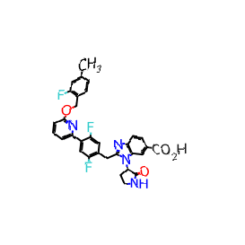 Cc1ccc(COc2cccc(-c3cc(F)c(Cc4nc5ccc(C(=O)O)cc5n4C4CCNC4=O)cc3F)n2)c(F)c1